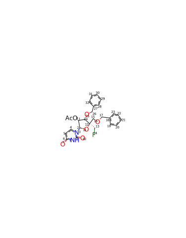 CC(=O)O[C@H]1[C@H](n2ccc(=O)[nH]c2=O)O[C@](CF)(COCc2ccccc2)[C@H]1OCc1ccccc1